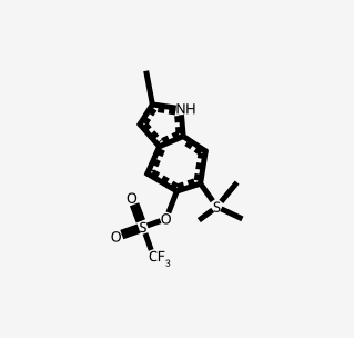 Cc1cc2cc(OS(=O)(=O)C(F)(F)F)c(S(C)(C)C)cc2[nH]1